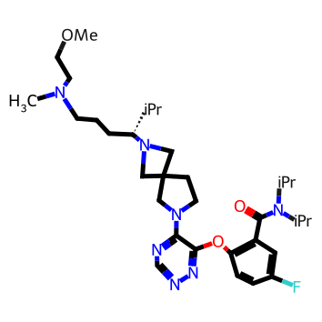 COCCN(C)CCC[C@H](C(C)C)N1CC2(CCN(c3ncnnc3Oc3ccc(F)cc3C(=O)N(C(C)C)C(C)C)C2)C1